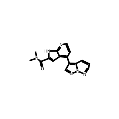 CN(C)C(=O)c1cc2c(-c3cnn4ncccc34)ccnc2[nH]1